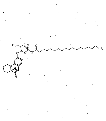 CCCCCCCCCCCCCCCCCC(=O)OC(=O)OC(Oc1ccc2c(c1)[C@@]13CCCC[C@H]1[C@@H](C2)NCC3)C(C)C